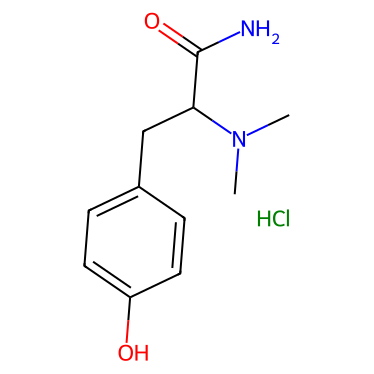 CN(C)C(Cc1ccc(O)cc1)C(N)=O.Cl